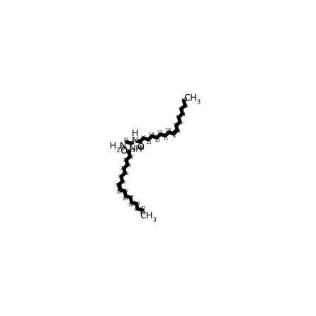 CCCCCCCC/C=C\CCCCCCCC(=O)NC(CN)NC(=O)CCCCCCC/C=C\CCCCCCCC